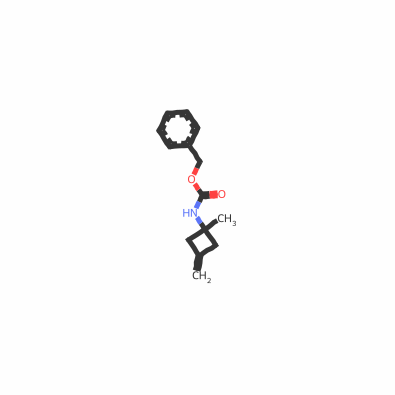 C=C1CC(C)(NC(=O)OCc2ccccc2)C1